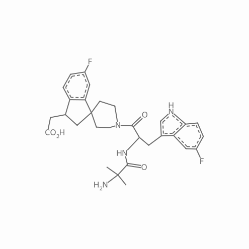 CC(C)(N)C(=O)NC(Cc1c[nH]c2ccc(F)cc12)C(=O)N1CCC2(CC1)CC(CC(=O)O)c1ccc(F)cc12